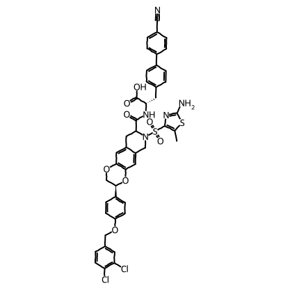 Cc1sc(N)nc1S(=O)(=O)N1Cc2cc3c(cc2CC1C(=O)N[C@@H](Cc1ccc(-c2ccc(C#N)cc2)cc1)C(=O)O)OC[C@H](c1ccc(OCc2ccc(Cl)c(Cl)c2)cc1)O3